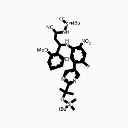 COc1cccc(Cl)c1C(CC(C#N)N[S+]([O-])C(C)(C)C)Nc1cc(-c2cnc(C(C)(C)O[Si](C)(C)C(C)(C)C)nc2)c(F)cc1[N+](=O)[O-]